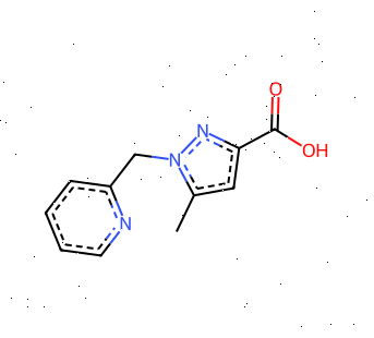 Cc1cc(C(=O)O)nn1Cc1ccccn1